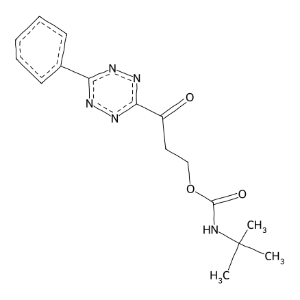 CC(C)(C)NC(=O)OCCC(=O)c1nnc(-c2ccccc2)nn1